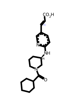 O=C(O)/C=C/c1ccc(N[C@@H]2CCCN(C(=O)C3CCCCC3)C2)nc1